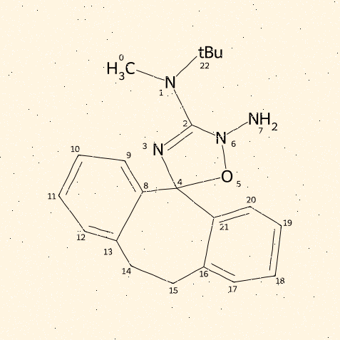 CN(C1=NC2(ON1N)c1ccccc1CCc1ccccc12)C(C)(C)C